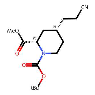 COC(=O)[C@@H]1C[C@H](CCC#N)CCN1C(=O)OC(C)(C)C